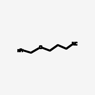 [C-]#[N+]CCCOCCCC